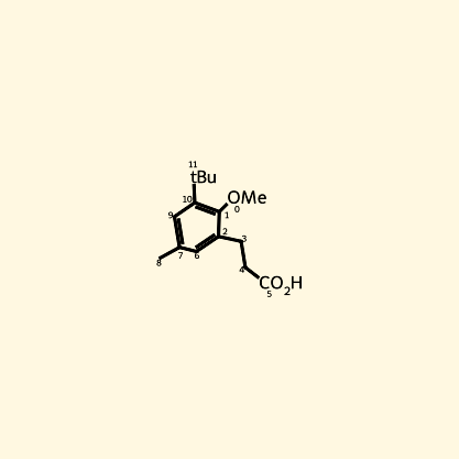 COc1c(CCC(=O)O)cc(C)cc1C(C)(C)C